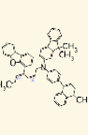 CC/C=C(\C=C/CN(c1ccc(C2=CCC(C)c3ccccc32)cc1)c1ccc2c(c1)C(C)(C)c1ccccc1-2)c1cccc2c1oc1ccccc12